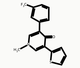 Cn1cc(-c2cccc(C(F)(F)F)c2)c(=O)c(-c2cccs2)c1